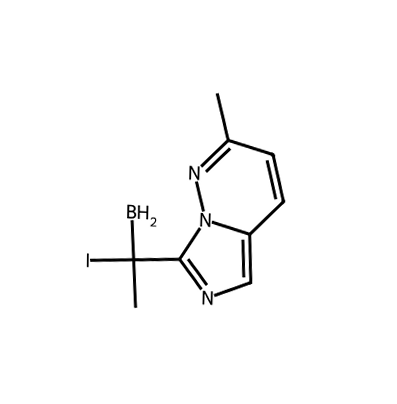 BC(C)(I)c1ncc2ccc(C)nn12